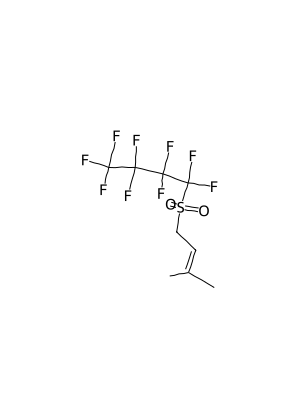 CC(C)=CCS(=O)(=O)C(F)(F)C(F)(F)C(F)(F)C(F)(F)F